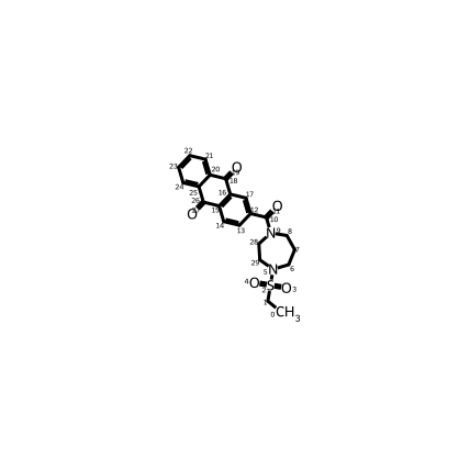 CCS(=O)(=O)N1CCCN(C(=O)c2ccc3c(c2)C(=O)c2ccccc2C3=O)CC1